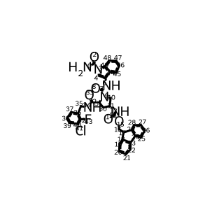 NC(=O)n1cc(NC(=O)N2C[C@@H](NC(=O)OCC3c4ccccc4-c4ccccc43)C[C@H]2C(=O)NCc2cccc(Cl)c2F)c2ccccc21